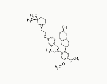 CCN(Cc1ccc(OCCN2CCCC(C)(C)C2)cc1)c1cc(OC)c(OC)cc1C1CCc2cc(O)ccc2C1